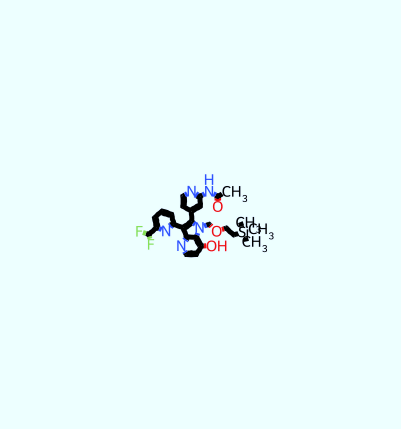 CC(=O)Nc1cc(-c2c(-c3cccc(C(F)F)n3)c3nccc(O)c3n2COCC[Si](C)(C)C)ccn1